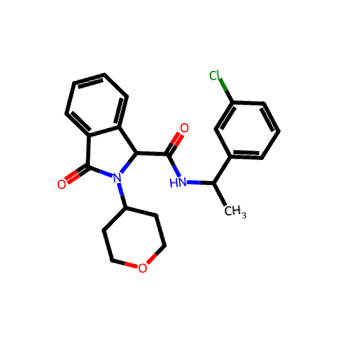 CC(NC(=O)C1c2ccccc2C(=O)N1C1CCOCC1)c1cccc(Cl)c1